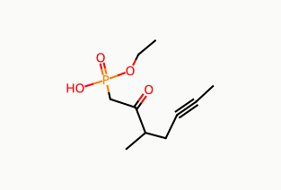 CC#CCC(C)C(=O)CP(=O)(O)OCC